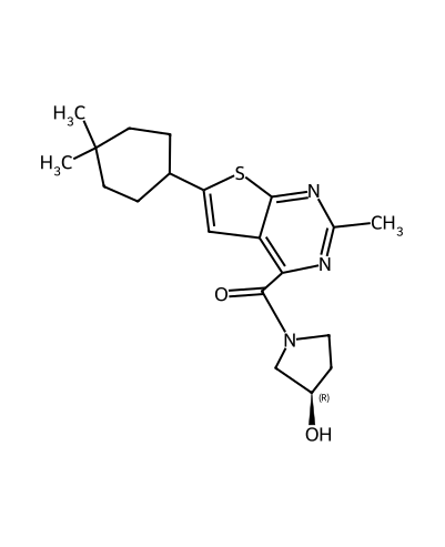 Cc1nc(C(=O)N2CC[C@@H](O)C2)c2cc(C3CCC(C)(C)CC3)sc2n1